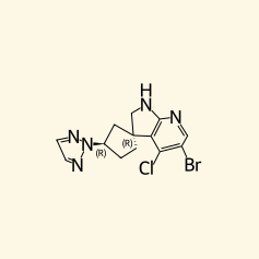 Clc1c(Br)cnc2c1[C@]1(CC[C@@H](n3nccn3)C1)CN2